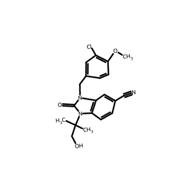 COc1ccc(Cn2c(=O)n(C(C)(C)CO)c3ccc(C#N)cc32)cc1Cl